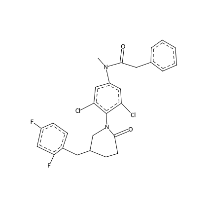 CN(C(=O)Cc1ccccc1)c1cc(Cl)c(N2CC(Cc3ccc(F)cc3F)CCC2=O)c(Cl)c1